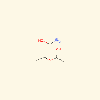 CCOC(C)O.NCO